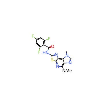 CNc1nc2sc(NC(=O)c3c(F)cc(F)cc3F)nc2c2c1ncn2C